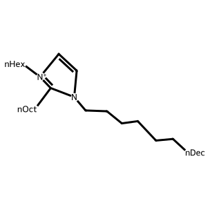 CCCCCCCCCCCCCCCCn1cc[n+](CCCCCC)c1CCCCCCCC